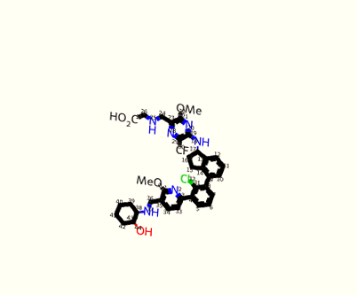 COc1nc(-c2cccc(-c3cccc4c3CC[C@@H]4Nc3nc(OC)c(CNCC(=O)O)nc3C(F)(F)F)c2Cl)ccc1CN[C@@H]1CCCC[C@@H]1O